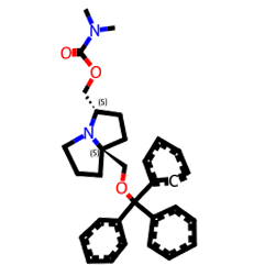 CN(C)C(=O)OC[C@@H]1CC[C@]2(COC(c3ccccc3)(c3ccccc3)c3ccccc3)CCCN12